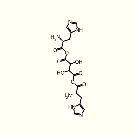 N[C@@H](Cc1cnc[nH]1)C(=O)OC(=O)C(O)C(O)C(=O)OC(=O)[C@@H](N)Cc1cnc[nH]1